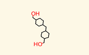 OCC1CCC(CC2CCC(CO)CC2)CC1